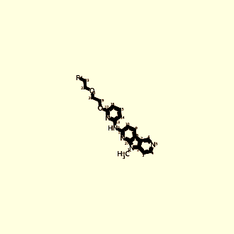 Cn1c2ccncc2c2ccc(Nc3cccc(OCCOCCF)n3)nc21